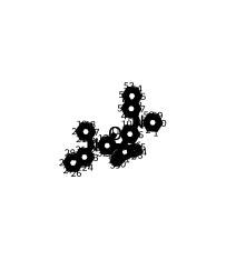 c1ccc(N(c2ccc3c(c2)Oc2cc(N(c4ccccc4)c4ccc5ccccc5c4)ccc2C32c3ccccc3-c3ccccc32)c2ccc3ccccc3c2)cc1